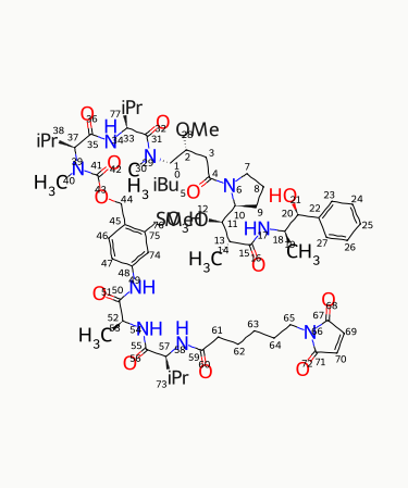 CC[C@H](C)[C@@H]([C@@H](CC(=O)N1CCC[C@H]1[C@H](OC)[C@@H](C)C(=O)N[C@H](C)[C@@H](O)c1ccccc1)OC)N(C)C(=O)[C@@H](NC(=O)[C@H](C(C)C)N(C)C(=O)OCc1ccc(NC(=O)[C@H](C)NC(=O)[C@@H](NC(=O)CCCCCN2C(=O)C=CC2=O)C(C)C)cc1S(=O)(=O)O)C(C)C